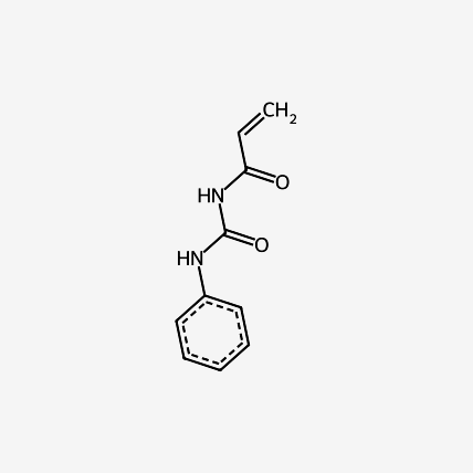 C=CC(=O)NC(=O)Nc1ccccc1